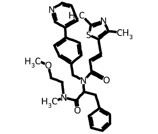 COCCN(C)C(=O)C(Cc1ccccc1)N(Cc1ccc(-c2cccnc2)cc1)C(=O)C=Cc1sc(C)nc1C